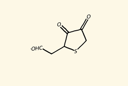 O=[C]CC1SCC(=O)C1=O